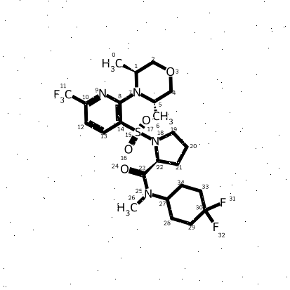 C[C@H]1COC[C@H](C)N1c1nc(C(F)(F)F)ccc1S(=O)(=O)N1CCC[C@H]1C(=O)N(C)C1CCC(F)(F)CC1